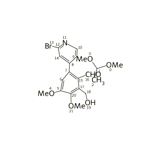 COC(C)OC.COc1cc(-c2ccnc(Br)c2)c(C=O)c(CO)c1OC